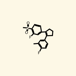 Cc1cc(C2=C(c3ccc(S(C)(=O)=O)c(F)c3)CCC2)ccc1F